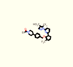 CCC(=O)N1CCC(c2ccc(COC3=C(C(F)(F)F)C=CCC3c3cccc(-n4ncc(C(=O)O)c4C(F)(F)F)n3)cc2)CC1